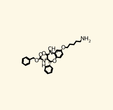 CN1C(=O)[C@@H](NC(=O)OCc2ccccc2)[C@@H](c2ccccc2)Oc2ccc(OCCCCCN)cc21